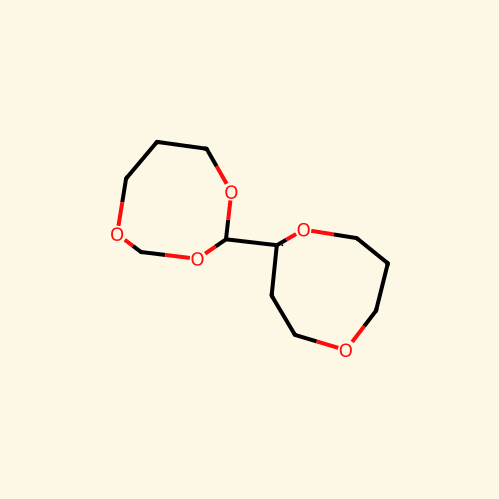 C1COCC[C](C2OCCCOCO2)OC1